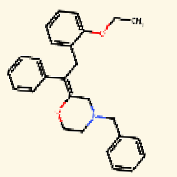 CCOc1ccccc1C/C(=C1\CN(Cc2ccccc2)CCO1)c1ccccc1